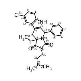 CCC12Cc3c([nH]c4ccc(Cl)cc34)C(c3ccccc3)N1C(=O)N(CCN(C)C)C2=O